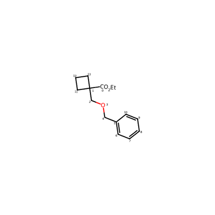 CCOC(=O)C1(COCc2ccccc2)CCC1